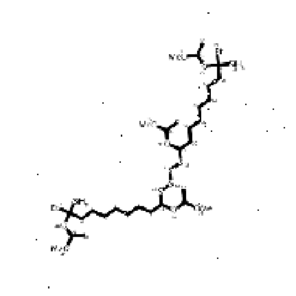 CCC([SiH3])(CCCCCCCC(OC(C)OC)SSSSC(CCCCCCCC([SiH3])(CC)OC(C)OC)OC(C)OC)OC(C)OC